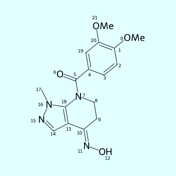 COc1ccc(C(=O)N2CCC(=NO)c3cnn(C)c32)cc1OC